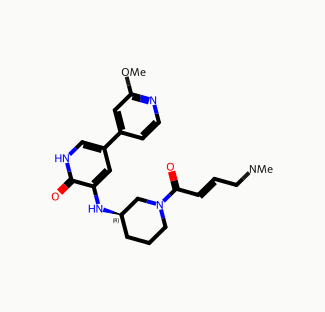 CNCC=CC(=O)N1CCC[C@@H](Nc2cc(-c3ccnc(OC)c3)c[nH]c2=O)C1